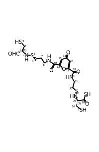 O=C[C@H](CS)NSSCCNC(=O)c1cc(=O)cc(C(=O)NCCSN[C@@H](CS)C(=O)S)o1